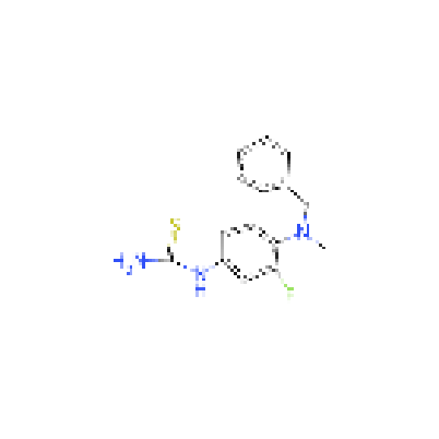 CN(Cc1ccccc1)c1ccc(NC(N)=S)cc1F